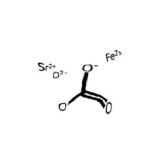 O=C([O-])[O-].[Fe+2].[O-2].[Sr+2]